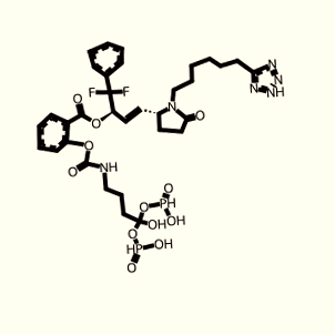 O=C(NCCCC(O)(O[PH](=O)O)O[PH](=O)O)Oc1ccccc1C(=O)O[C@H](/C=C/[C@H]1CCC(=O)N1CCCCCCc1nn[nH]n1)C(F)(F)c1ccccc1